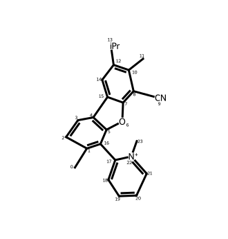 Cc1ccc2c(oc3c(C#N)c(C)c(C(C)C)cc32)c1-c1cccc[n+]1C